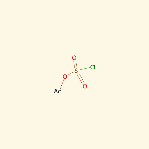 CC(=O)OS(=O)(=O)Cl